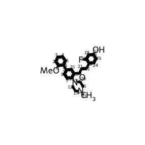 COc1ccccc1-c1ccc(N2CCN(C)CC2)c(C(=O)C=Cc2ccc(O)cc2F)c1